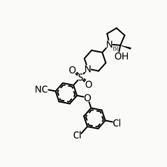 C[C@]1(O)CCCN1C1CCN(S(=O)(=O)c2cc(C#N)ccc2Oc2cc(Cl)cc(Cl)c2)CC1